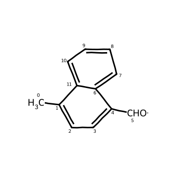 Cc1ccc([C]=O)c2ccccc12